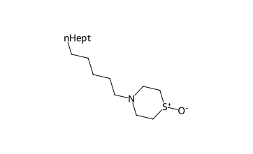 CCCCCCCCCCCCN1CC[S+]([O-])CC1